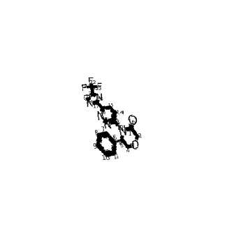 O=C1COC[C@@H](c2ccccc2)N1c1ccc(-c2noc(C(F)(F)F)n2)nn1